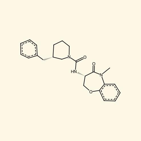 CN1C(=O)[C@@H](NC(=O)N2CCC[C@@H](Cc3ccccc3)C2)COc2ccccc21